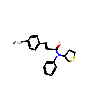 COc1ccc(/C=C/C(=O)N(c2ccccc2)C2CCSC2)cc1